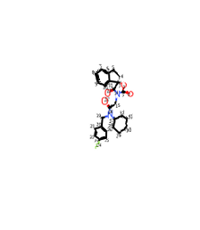 O=C1O[C@@]2(CCc3ccccc32)C(=O)N1CC(=O)N(Cc1ccc(F)cc1)C1CC[C]CC1